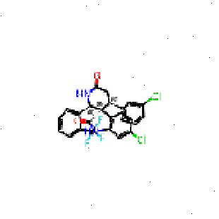 O=C1C[C@@H](c2cccc(Cl)c2)[C@]2(C(=O)Nc3cc(Cl)ccc32)[C@@H](c2ccccc2C(F)(F)F)N1